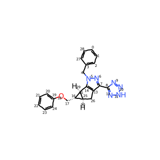 c1ccc(Cn2nc(-c3nn[nH]n3)c3c2[C@@H]2[C@@H](COc4ccccc4)[C@@H]2C3)cc1